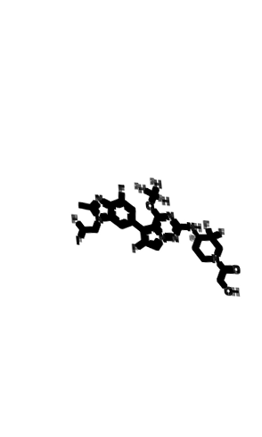 [2H]C([2H])([2H])Oc1nc(N[C@@H]2CCN(C(=O)CO)CC2(F)F)nn2cc(F)c(-c3cc(F)c4nc(C)n(CC(F)F)c4c3)c12